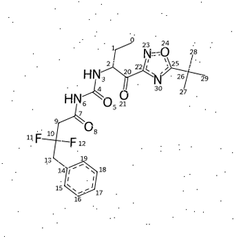 CCC(NC(=O)NC(=O)CC(F)(F)Cc1ccccc1)C(=O)c1noc(C(C)(C)C)n1